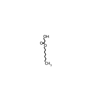 CCCCCCCCOC(=O)CCO